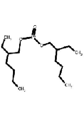 CCCCC(CC)CO[P+](=O)OCC(CC)CCCC